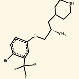 C[C@H](COc1ccc(Br)c(C(F)(F)F)c1)CC1CCNCC1